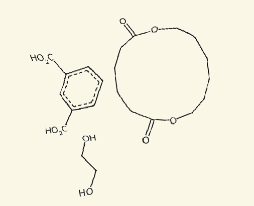 O=C(O)c1cccc(C(=O)O)c1.O=C1CCCCC(=O)OCCCCCCO1.OCCO